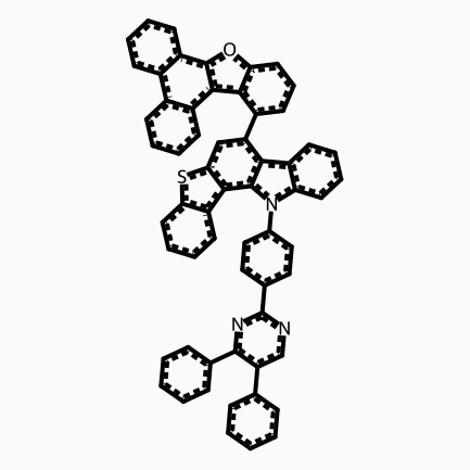 c1ccc(-c2cnc(-c3ccc(-n4c5ccccc5c5c(-c6cccc7oc8c9ccccc9c9ccccc9c8c67)cc6sc7ccccc7c6c54)cc3)nc2-c2ccccc2)cc1